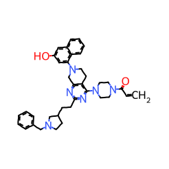 C=CC(=O)N1CCN(c2nc(CCC3CCN(Cc4ccccc4)C3)nc3c2CCN(c2cc(O)cc4ccccc24)C3)CC1